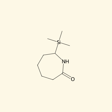 C[Si](C)(C)C1CCCCC(=O)N1